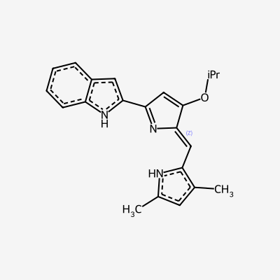 Cc1cc(C)c(/C=C2\N=C(c3cc4ccccc4[nH]3)C=C2OC(C)C)[nH]1